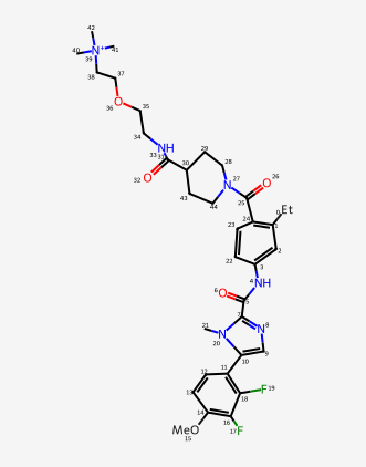 CCc1cc(NC(=O)c2ncc(-c3ccc(OC)c(F)c3F)n2C)ccc1C(=O)N1CCC(C(=O)NCCOCC[N+](C)(C)C)CC1